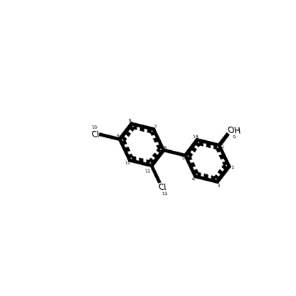 Oc1cccc(-c2ccc(Cl)cc2Cl)c1